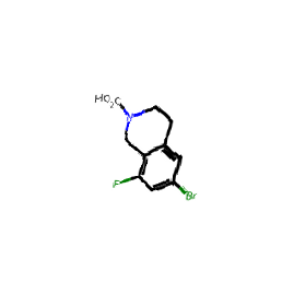 O=C(O)N1CCc2cc(Br)cc(F)c2C1